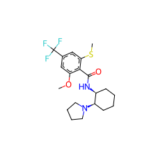 COc1cc(C(F)(F)F)cc(SC)c1C(=O)N[C@H]1CCCC[C@H]1N1CCCC1